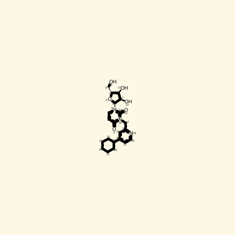 O=c1ccn([C@@H]2O[C@H](CO)[C@@H](O)[C@H]2O)c(=O)n1Cc1cc(C2CCCCC2)ccn1